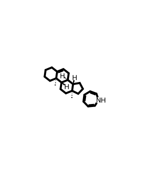 C1=CC=CNC=C1.C[C@@]12CCC[C@H]1[C@@H]1CC=C3CCCC[C@]3(C)[C@H]1CC2